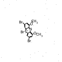 COc1cc(Br)cc2[s+]c3cc(Br)cc(OC)c3nc12.[Br-]